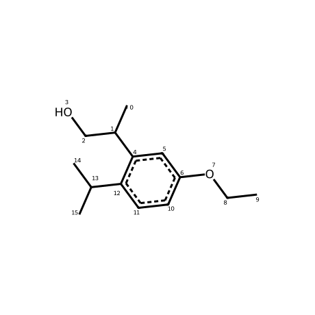 [CH2]C(CO)c1cc(OCC)ccc1C(C)C